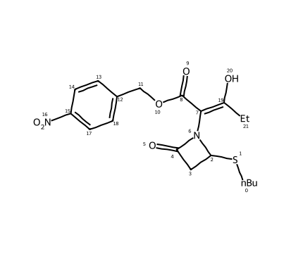 CCCCSC1CC(=O)N1C(C(=O)OCc1ccc([N+](=O)[O-])cc1)=C(O)CC